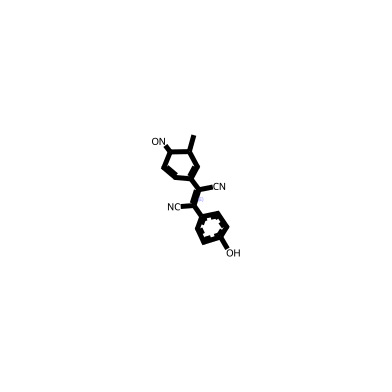 CC1C=C(/C(C#N)=C(\C#N)c2ccc(O)cc2)C=CC1N=O